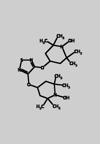 CC1(C)CC(Oc2nsnc2OC2CC(C)(C)N(O)C(C)(C)C2)CC(C)(C)N1O